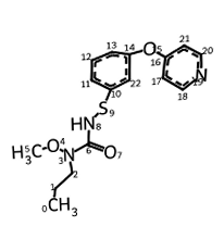 CCCN(OC)C(=O)NSc1cccc(Oc2ccncc2)c1